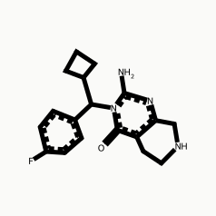 Nc1nc2c(c(=O)n1C(c1ccc(F)cc1)C1CCC1)CCNC2